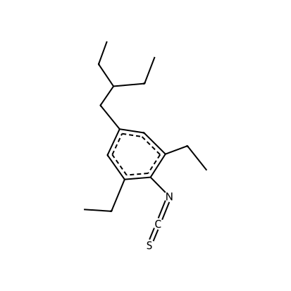 CCc1cc(CC(CC)CC)cc(CC)c1N=C=S